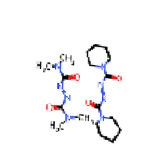 CN(C)C(=O)N=NC(=O)N(C)C.O=C(N=NC(=O)N1CCCCC1)N1CCCCC1